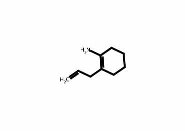 C=CCC1=C(N)CCCC1